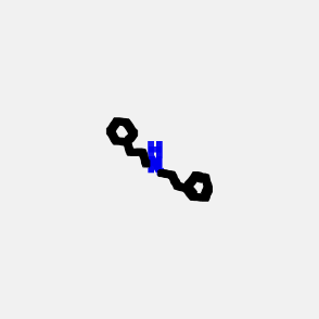 c1ccc(CCCNCCCC2CCCCC2)cc1